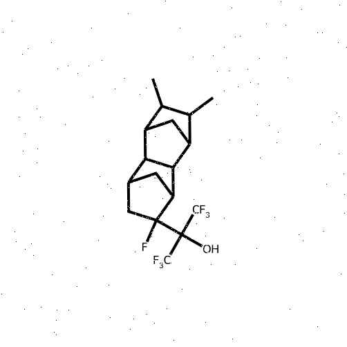 CC1C(C)C2CC1C1C3CC(C21)C(F)(C(O)(C(F)(F)F)C(F)(F)F)C3